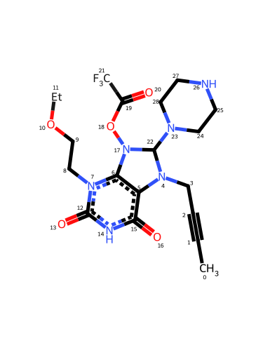 CC#CCN1c2c(n(CCOCC)c(=O)[nH]c2=O)N(OC(=O)C(F)(F)F)C1N1CCNCC1